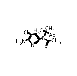 CC(=O)C(C)(C)N(C(C)=S)c1cnc(N)c(Cl)c1